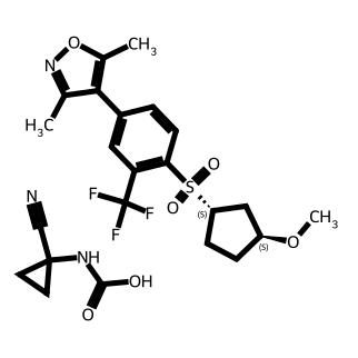 CO[C@H]1CC[C@H](S(=O)(=O)c2ccc(-c3c(C)noc3C)cc2C(F)(F)F)C1.N#CC1(NC(=O)O)CC1